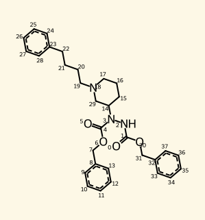 O=C(NN(C(=O)OCc1ccccc1)C1CCCN(CCCCc2ccccc2)C1)OCc1ccccc1